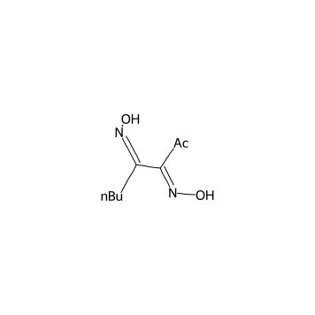 CCCCC(=NO)C(=NO)C(C)=O